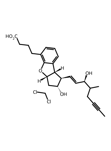 CC#CCC(C)[C@H](O)/C=C/[C@@H]1[C@H]2c3cccc(CCCC(=O)O)c3O[C@H]2C[C@H]1O.ClCCl